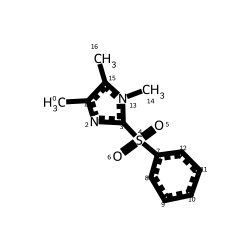 Cc1nc(S(=O)(=O)c2ccccc2)n(C)c1C